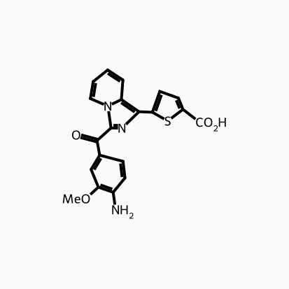 COc1cc(C(=O)c2nc(-c3ccc(C(=O)O)s3)c3ccccn23)ccc1N